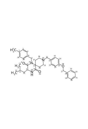 Cc1ccc(CN2C(=O)C(CC(C)C)NC(=O)C23CCN(Cc2ccc(OCc4ccccc4)cc2)CC3)cc1